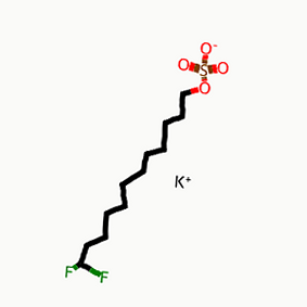 O=S(=O)([O-])OCCCCCCCCCCCC(F)F.[K+]